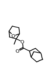 CC1(OC(=O)C2CC3CCC2C3)CC2CCC1O2